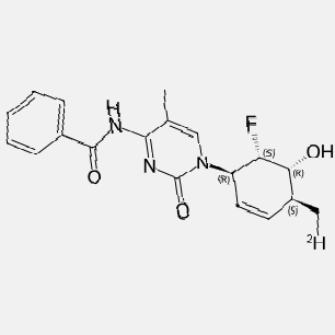 [2H]C[C@H]1C=C[C@@H](n2cc(C)c(NC(=O)c3ccccc3)nc2=O)[C@H](F)[C@@H]1O